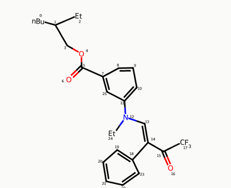 CCCCC(CC)COC(=O)c1cccc(N(/C=C(/C(=O)C(F)(F)F)c2ccccc2)CC)c1